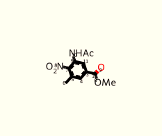 COC(=O)c1cc(C)c([N+](=O)[O-])c(NC(C)=O)c1